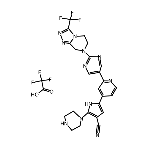 N#Cc1cc(-c2ccnc(-c3cnc(N4CCn5c(nnc5C(F)(F)F)C4)nc3)c2)[nH]c1N1CCNCC1.O=C(O)C(F)(F)F